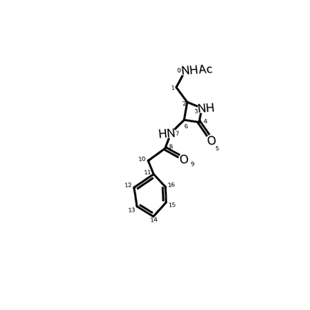 CC(=O)NCC1NC(=O)C1NC(=O)Cc1ccccc1